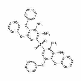 Nc1c(S(=O)(=O)c2cc(Oc3ccccc3)c(Oc3ccccc3)c(N)c2N)cc(Oc2ccccc2)c(Oc2ccccc2)c1N